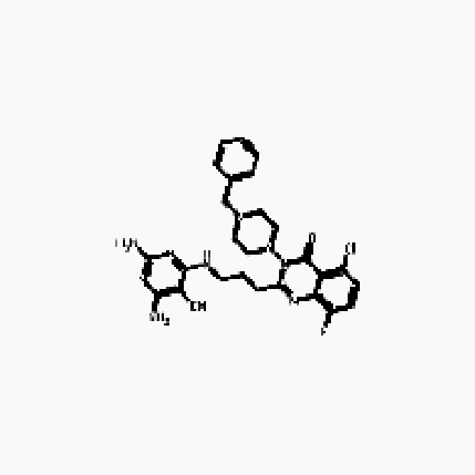 N#Cc1c(N)nc(N)nc1NCCCc1nc2c(F)ccc(Cl)c2c(=O)n1N1CCN(Cc2ccccc2)CC1